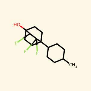 CC1CCC(C23CCC(O)(CC2)C(F)C3(F)F)CC1